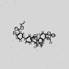 CCOC(=O)c1cc(-c2ccc([C@@H](C)[C@@](O)(c3ccc4oc(=O)n(C)c4c3)C(F)(F)F)c(Cl)c2)ccc1F